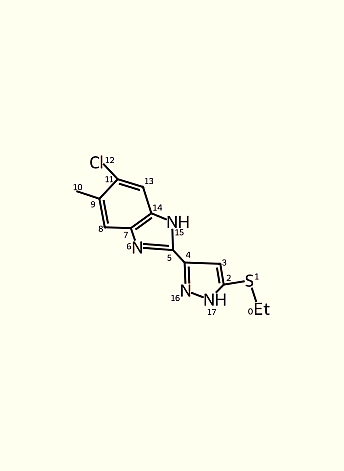 CCSc1cc(-c2nc3cc(C)c(Cl)cc3[nH]2)n[nH]1